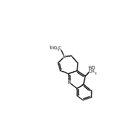 CCOC(=O)N1C=Cc2nc3ccccc3c(C)c2CC1.Cl